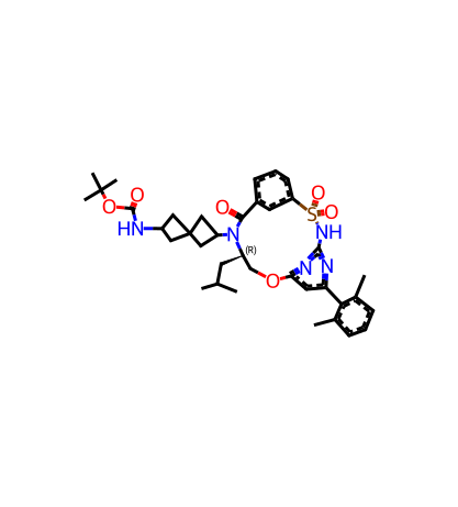 Cc1cccc(C)c1-c1cc2nc(n1)NS(=O)(=O)c1cccc(c1)C(=O)N(C1CC3(CC(NC(=O)OC(C)(C)C)C3)C1)[C@H](CC(C)C)CO2